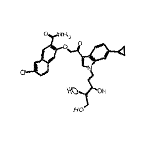 NC(=O)c1cc2cc(Cl)ccc2cc1OCC(=O)c1cn(CC[C@@H](O)[C@H](O)CO)c2cc(C3CC3)ccc12